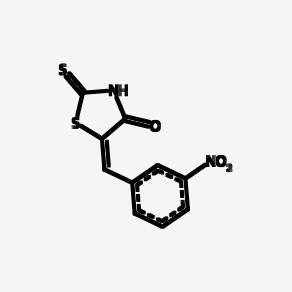 O=C1NC(=S)SC1=Cc1cccc([N+](=O)[O-])c1